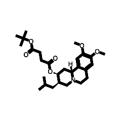 COc1cc2c(cc1OC)[C@H]1C[C@@H](OC(=O)CCC(=O)OC(C)(C)C)[C@H](CC(C)C)CN1CC2